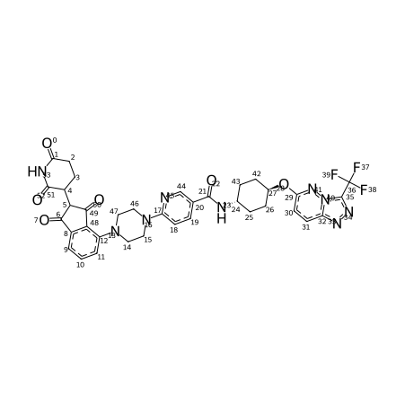 O=C1CCC(C2C(=O)c3cccc(N4CCN(c5ccc(C(=O)N[C@H]6CC[C@H](Oc7ccc8nnc(C(F)(F)F)n8n7)CC6)cn5)CC4)c3C2=O)C(=O)N1